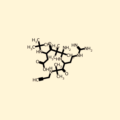 C#CCNC(C)(C)C(=O)C(CCNC(=N)N)NC(C)(N)C(C)(C)C(=O)C(CC(=O)O)NC(C)(C)C